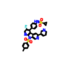 Cc1ccc(S(=O)(=O)n2c3cnc(-c4cccnc4)cc3c3c(-c4ccc(NS(=O)(=O)C5CC5)cc4)c(F)cnc32)cc1